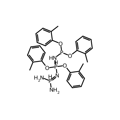 Cc1ccccc1OP(N[PH](N=[PH](N)N)(Oc1ccccc1C)Oc1ccccc1C)Oc1ccccc1C